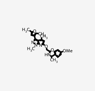 COc1ccc(C(C)NC(=O)COc2cc(C)c3c(-c4cc(C)oc4C)nn(C)c3n2)cc1